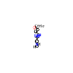 COC(=O)c1cccc2c(-c3cnn4cc(-c5ccc(N6C[C@H]7CC[C@@H]6C7)cc5)cnc34)cccc12